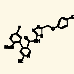 COc1ccc(F)cc1-c1cc(C#N)ncc1C(=O)Nc1nnc(COc2ccc(Cl)cc2)s1